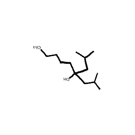 CC(C)CC(O)(CCCCO)CC(C)C